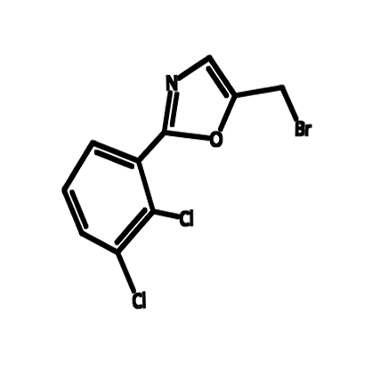 Clc1cccc(-c2ncc(CBr)o2)c1Cl